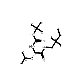 CCC(C)(C)CNC(=O)[C@H](CC(C)C)NC(=O)OC(C)(C)C